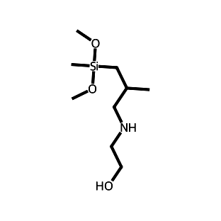 CO[Si](C)(CC(C)CNCCO)OC